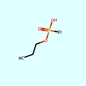 CCP(=O)(O)OCCC#N